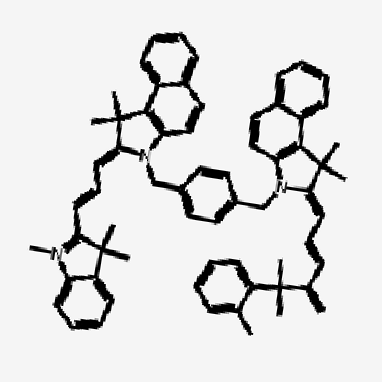 C=C(/C=C/C=C1\N(Cc2ccc(CN3/C(=C\C=C\C4=[N+](C)c5ccccc5C4(C)C)C(C)(C)c4c3ccc3ccccc43)cc2)c2ccc3ccccc3c2C1(C)C)C(C)(C)c1ccccc1C